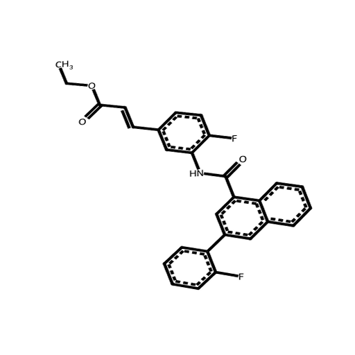 CCOC(=O)/C=C/c1ccc(F)c(NC(=O)c2cc(-c3ccccc3F)cc3ccccc23)c1